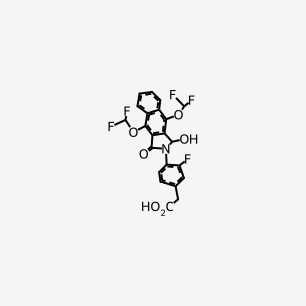 O=C(O)Cc1ccc(N2C(=O)c3c(c(OC(F)F)c4ccccc4c3OC(F)F)C2O)c(F)c1